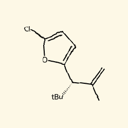 C=C(C)[C@@H](c1ccc(Cl)o1)C(C)(C)C